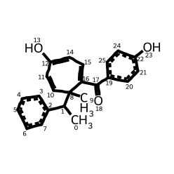 CC(c1ccccc1)C1(C)C=CC(O)=CC=C1C(=O)c1ccc(O)cc1